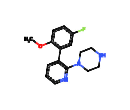 COc1ccc(F)cc1-c1cccnc1N1CCNCC1